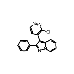 Clc1nnccc1-c1c(-c2ccccc2)nn2ccccc12